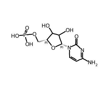 Nc1ccn([C@@H]2O[C@H](COP(=O)(O)O)C(O)C2O)c(=O)n1